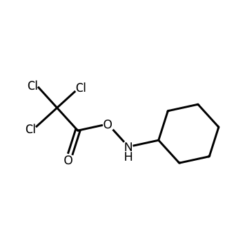 O=C(ONC1CCCCC1)C(Cl)(Cl)Cl